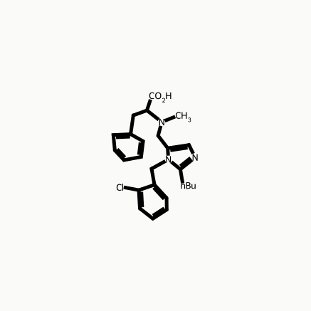 CCCCc1ncc(CN(C)C(Cc2ccccc2)C(=O)O)n1Cc1ccccc1Cl